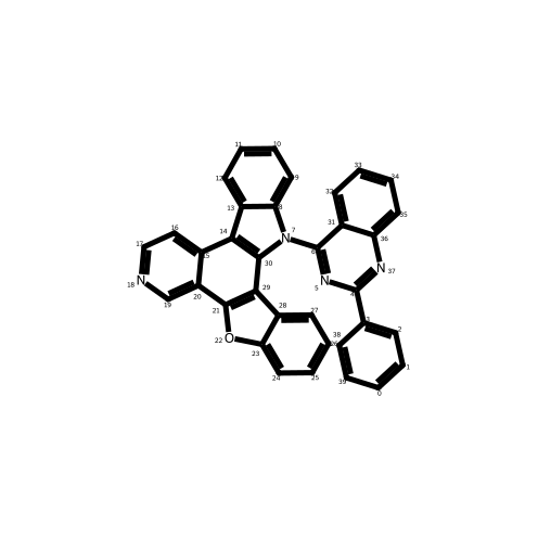 c1ccc(-c2nc(-n3c4ccccc4c4c5ccncc5c5oc6ccccc6c5c43)c3ccccc3n2)cc1